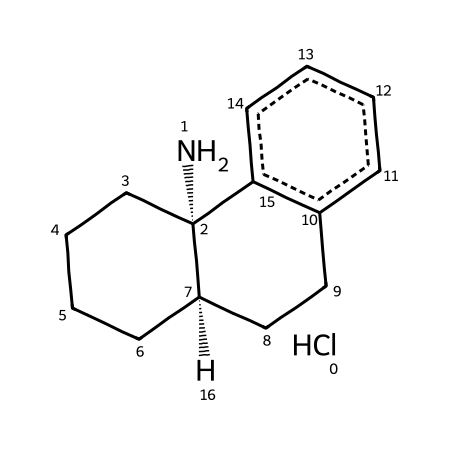 Cl.N[C@@]12CCCC[C@@H]1CCc1ccccc12